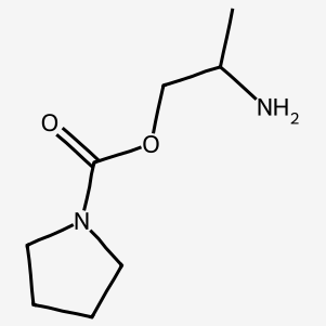 CC(N)COC(=O)N1CCCC1